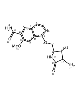 CCC1C(COc2nccc3cc(C(N)=O)c(OC)cc23)NC(=O)C1N